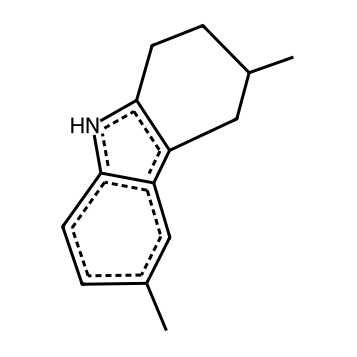 Cc1ccc2[nH]c3c(c2c1)CC(C)CC3